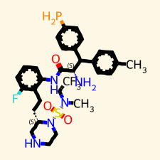 Cc1ccc(C(c2ccc(P)cc2)[C@H](N)C(=O)Nc2cccc(F)c2CC[C@H]2CNCCN2S(=O)(=O)N(C)CC(F)(F)F)cc1